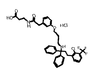 Cl.O=C(O)CCNC(=O)Cc1cccc(OCCCNC(CCc2cccc(C(F)(F)F)c2Cl)(c2ccccc2)c2ccccc2)c1